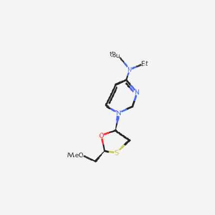 CCN(C1=NCN([C@H]2CS[C@@H](COC)O2)C=C1)C(C)(C)C